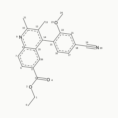 CCOC(=O)c1ccc2nc(C)c(C)c(-c3ccc(C#N)cc3OC)c2c1